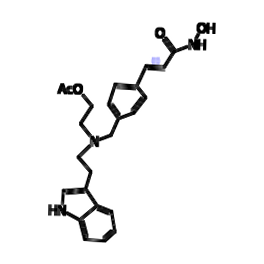 CC(=O)OCCN(CCc1c[nH]c2ccccc12)Cc1ccc(/C=C/C(=O)NO)cc1